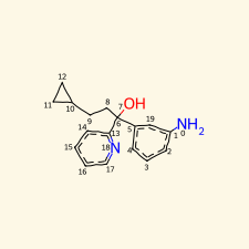 Nc1cccc(C(O)(CCC2CC2)c2ccccn2)c1